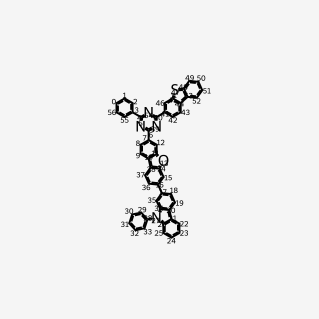 c1ccc(-c2nc(-c3ccc4c(c3)oc3cc(-c5ccc6c7ccccc7n(-c7ccccc7)c6c5)ccc34)nc(-c3ccc4c(c3)sc3ccccc34)n2)cc1